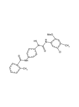 COc1cc(C)c(Cl)cc1NC(=O)N(S)c1ccc(NC(=O)c2ccccc2C)cc1